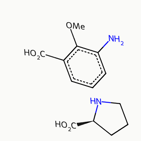 COc1c(N)cccc1C(=O)O.O=C(O)[C@@H]1CCCN1